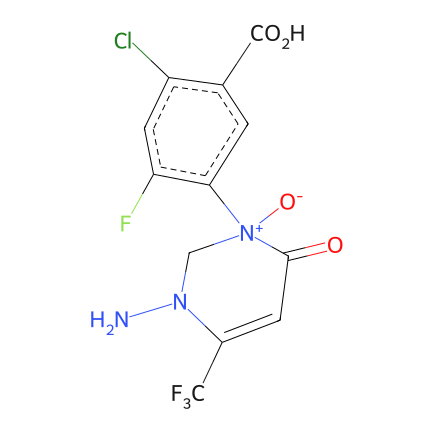 NN1C[N+]([O-])(c2cc(C(=O)O)c(Cl)cc2F)C(=O)C=C1C(F)(F)F